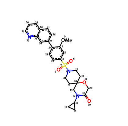 COc1cc(S(=O)(=O)N2CCC3(CC2)CN(C2CC2)C(=O)CO3)ccc1-c1ccc2cccnc2c1